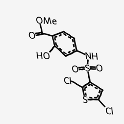 COC(=O)c1ccc(NS(=O)(=O)c2cc(Cl)sc2Cl)cc1O